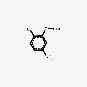 CCCCOc1cc([N+](=O)[O-])ccc1Cl